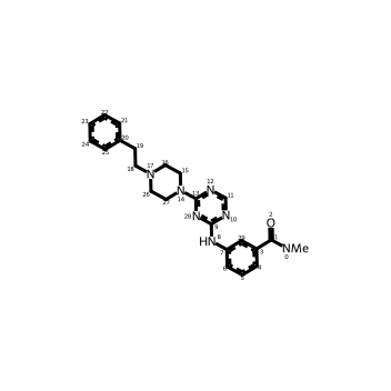 CNC(=O)c1cccc(Nc2ncnc(N3CCN(CCc4ccccc4)CC3)n2)c1